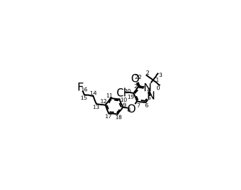 CC(C)(C)n1ncc(Oc2ccc(CCCF)cc2)c(Cl)c1=O